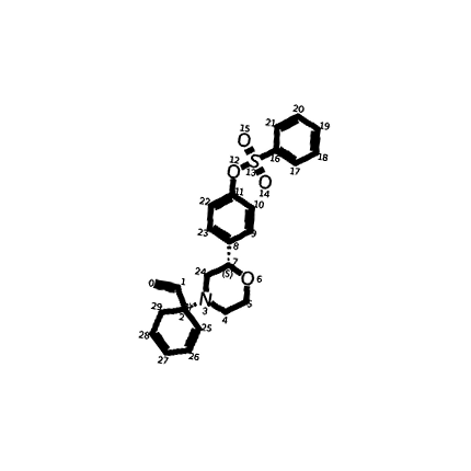 C=C[C@@]1(N2CCO[C@@H](c3ccc(OS(=O)(=O)c4ccccc4)cc3)C2)C=CC=CC1